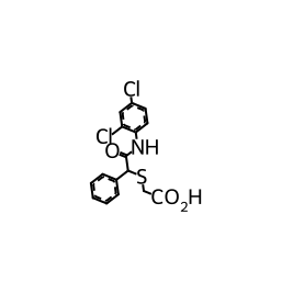 O=C(O)CSC(C(=O)Nc1ccc(Cl)cc1Cl)c1ccccc1